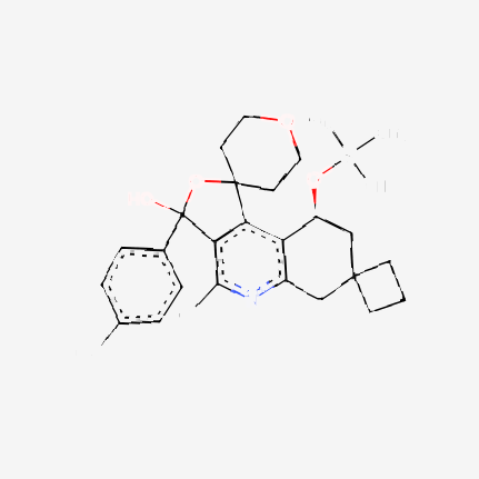 CC(C)c1nc2c(c3c1C(O)(c1ccc(C(F)(F)F)cc1)OC31CCOCC1)[C@@H](O[Si](C)(C)C(C)(C)C)CC1(CCC1)C2